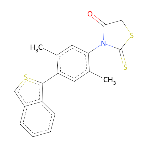 Cc1cc(N2C(=O)CSC2=S)c(C)cc1-c1scc2ccccc12